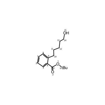 CC(C)(C)OC(=O)c1ccccc1CCCCCO